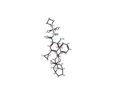 O=C(NS(=O)(=O)N1CCC1)c1cc(C2CC2)c(OCC2CC3CCC(C2)N3C(=O)OCc2ccccc2)cc1F